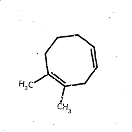 C/C1=C(\C)CCC/C=C\C1